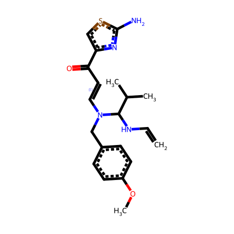 C=CNC(C(C)C)N(/C=C/C(=O)c1csc(N)n1)Cc1ccc(OC)cc1